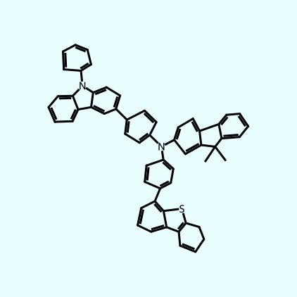 CC1(C)c2ccccc2-c2ccc(N(c3ccc(-c4ccc5c(c4)c4ccccc4n5-c4ccccc4)cc3)c3ccc(-c4cccc5c6c(sc45)CCC=C6)cc3)cc21